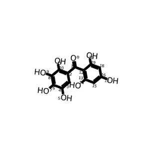 O=C(c1cc(O)c(O)c(O)c1O)c1c(O)cc(O)cc1O